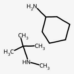 CNC(C)(C)C.NC1CCCCC1